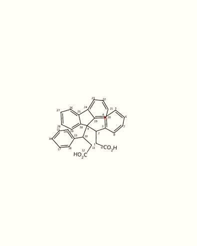 O=C(O)CC(c1ccccc1)C1(C(CC(=O)O)c2ccccc2)c2ccccc2-c2ccccc21